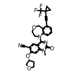 Cn1c(=O)nc(N2CCOCc3c(C#CC4(C(F)(F)F)CC4)cccc32)c2cc(C#N)c(O[C@@H]3CCOC3)cc21